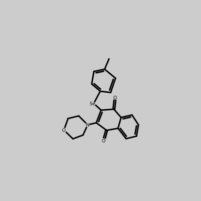 Cc1ccc([Se]C2=C(N3CCOCC3)C(=O)c3ccccc3C2=O)cc1